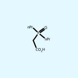 CCCP(=O)(CCC)CC(=O)O